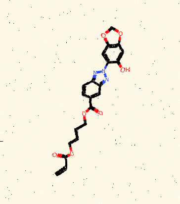 C=CC(=O)OCCCCOC(=O)c1ccc2nn(-c3cc4c(cc3O)OCO4)nc2c1